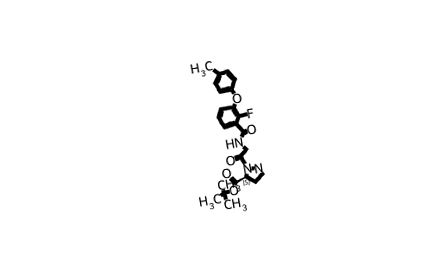 Cc1ccc(Oc2cccc(C(=O)NCC(=O)N3N=CC[C@H]3C(=O)OC(C)(C)C)c2F)cc1